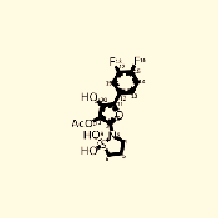 CC(=O)Oc1c(N2CCCS2(O)O)oc(-c2ccc(F)c(F)c2)c1O